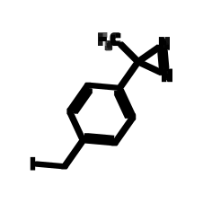 FC(F)(F)C1(c2ccc(CI)cc2)N=N1